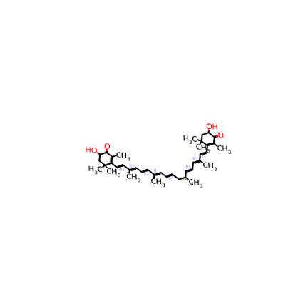 CC1=C(/C=C/C(C)=C/C=C/C(C)=C/C=C/C[C@H](C)/C=C/C=C(C)/C=C/C2=C(C)C(=O)C(O)CC2(C)C)C(C)(C)CC(O)C1=O